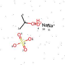 CC(C)O.O.O=S(=O)([O-])[O-].[Na+].[Na+]